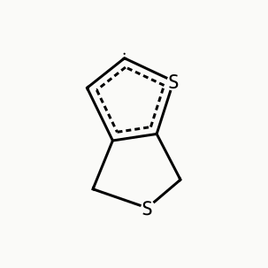 [c]1cc2c(s1)CSC2